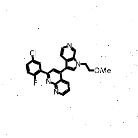 COCCn1cc(-c2cc(-c3cc(Cl)ccc3F)nc3ncccc23)c2ccncc21